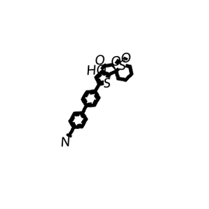 N#Cc1ccc(-c2ccc(-c3ccc([C@@]4(CC(=O)O)CCCCS4(=O)=O)s3)cc2)cc1